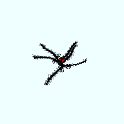 CCCCCCCCCCCCCC(=O)OCC(COCC(COC(=O)CCCCCCCCCCCCC)(COC(=O)CCCCCCCCCCCCC)COC(=O)CCCCCCCCCCCCC)(COC(=O)CCCCCCCCCCCCC)COC(=O)CCCCCCCCCCCCC